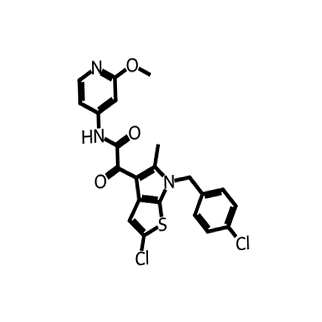 COc1cc(NC(=O)C(=O)c2c(C)n(Cc3ccc(Cl)cc3)c3sc(Cl)cc23)ccn1